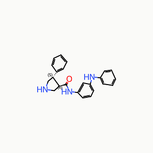 O=C(Nc1cccc(Nc2ccccc2)c1)[C@H]1CNC[C@@H]1c1ccccc1